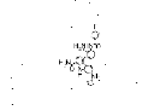 NCc1c(NC(=O)c2ccc(F)cc2)cccc1-c1ccc(C(N)=O)c2[nH]c3cc(NC4CCC4)ccc3c12